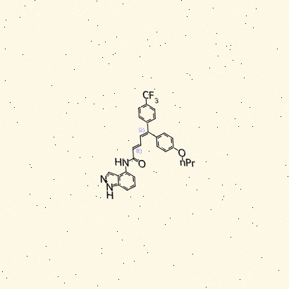 CCCOc1ccc(/C(=C\C=C\C(=O)Nc2cccc3[nH]ncc23)c2ccc(C(F)(F)F)cc2)cc1